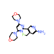 Nc1cc(CF)c(-c2nc(N3CCOCC3)cc(N3CCOCC3)n2)cn1